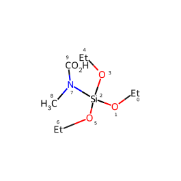 CCO[Si](OCC)(OCC)N(C)C(=O)O